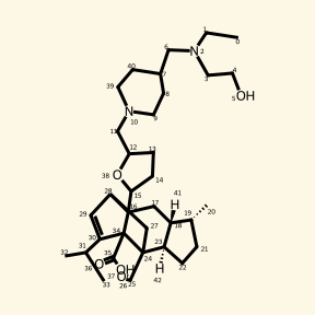 CCN(CCO)CC1CCN(CC2CCC(C34C[C@@H]5[C@H](C)CC[C@H]5C5(C=O)CC3C=C(C(C)C)C45C(=O)O)O2)CC1